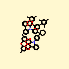 Cc1cc(C)c(-c2cccc(-c3ccccc3N(c3ccc(C4(c5ccc(N(c6ccccc6-c6cccc(-c7c(C)cc(C)cc7C)c6)c6ccccc6-c6cccc(-c7c(C)cc(C)cc7C)c6)cc5)CCCCC4)cc3)c3cccc(-c4c(C)cc(C)cc4C)c3)c2)c(C)c1